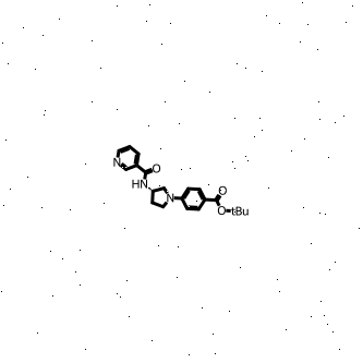 CC(C)(C)OC(=O)c1ccc(N2CC[C@H](NC(=O)c3cccnc3)C2)cc1